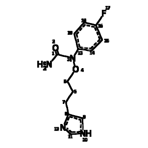 NC(=O)N(OCCCc1c[nH]cn1)c1ccc(F)cc1